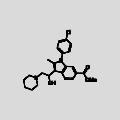 COC(=O)c1ccc2c(C(O)CN3CCCCC3)c(C)n(-c3ccc(Cl)cc3)c2c1